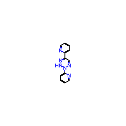 C1=NN(c2ccccn2)NN=C1c1ccccn1